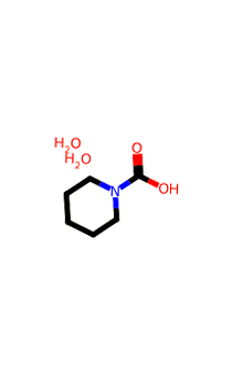 O.O.O=C(O)N1CCCCC1